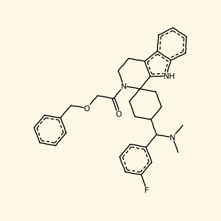 CN(C)C(c1cccc(F)c1)C1CCC2(CC1)c1[nH]c3ccccc3c1CCN2C(=O)COCc1ccccc1